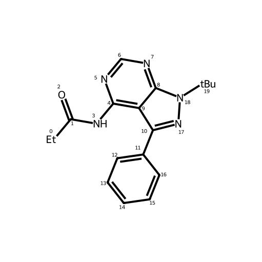 CCC(=O)Nc1ncnc2c1c(-c1ccccc1)nn2C(C)(C)C